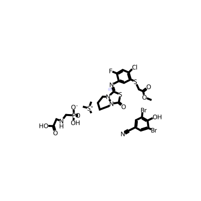 COC(=O)CSc1cc(/N=c2\sc(=O)n3n2CCCC3)c(F)cc1Cl.C[S+](C)C.N#Cc1cc(Br)c(O)c(Br)c1.O=C(O)CNCP(=O)([O-])O